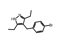 CCc1n[nH]c(CC)c1Cc1ccc(Br)cc1